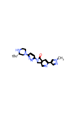 Cn1cc(-c2cc3c(cn2)CN(c2ccc(N4CCN[C@@H](C(C)(C)C)C4)nn2)C3=O)cn1